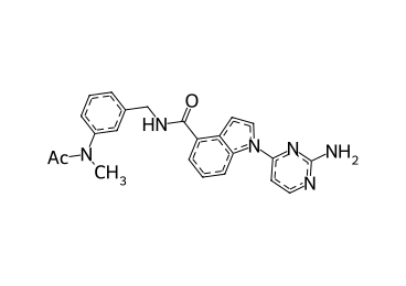 CC(=O)N(C)c1cccc(CNC(=O)c2cccc3c2ccn3-c2ccnc(N)n2)c1